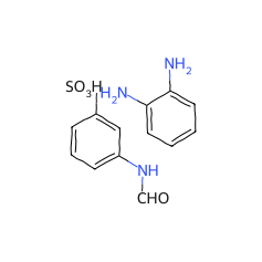 Nc1ccccc1N.O=CNc1cccc(S(=O)(=O)O)c1